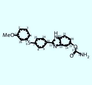 COc1cccc(Sc2ccc(-c3nc4cc(OC(N)=O)ccc4[nH]3)cc2)c1